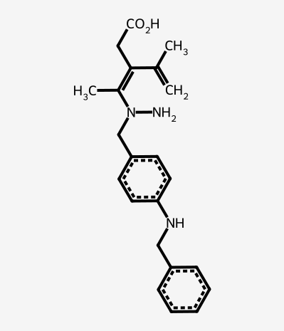 C=C(C)/C(CC(=O)O)=C(/C)N(N)Cc1ccc(NCc2ccccc2)cc1